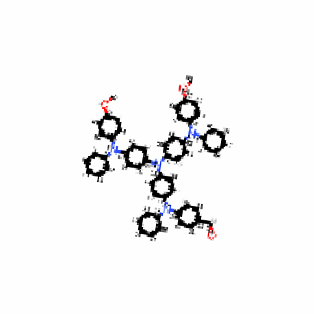 COc1ccc(N(c2ccccc2)c2ccc(N(c3ccc(N(c4ccccc4)c4ccc(C=O)cc4)cc3)c3ccc(N(c4ccccc4)c4ccc(OC)cc4)cc3)cc2)cc1